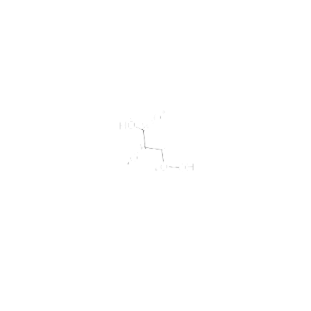 O=C(O)C(=O)COO